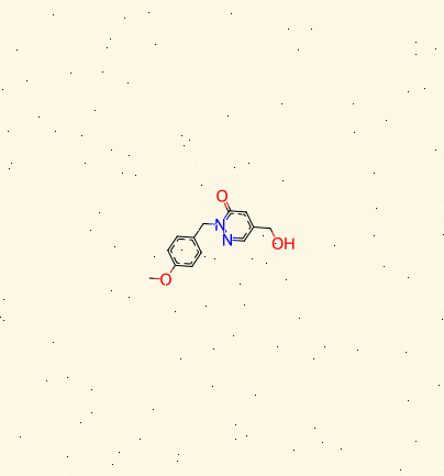 COc1ccc(Cn2ncc(CO)cc2=O)cc1